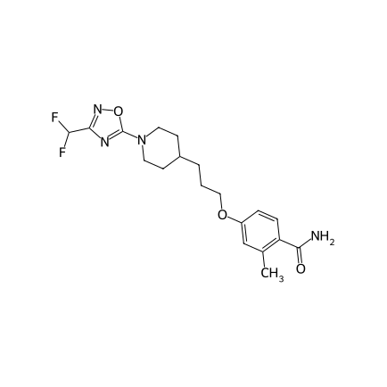 Cc1cc(OCCCC2CCN(c3nc(C(F)F)no3)CC2)ccc1C(N)=O